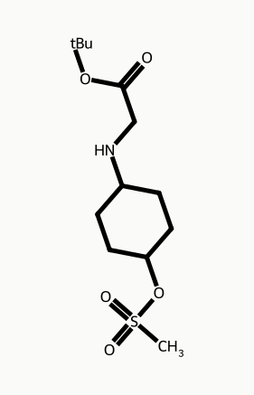 CC(C)(C)OC(=O)CNC1CCC(OS(C)(=O)=O)CC1